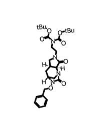 CC(C)(C)OC(=O)N(CCN1C[C@@H]2C[C@@H]3CN(C(=O)N3OCc3ccccc3)[C@@H]2C1=O)C(=O)OC(C)(C)C